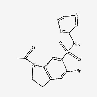 CC(=O)N1CCc2cc(Br)c(S(=O)(=O)Nc3cnccn3)cc21